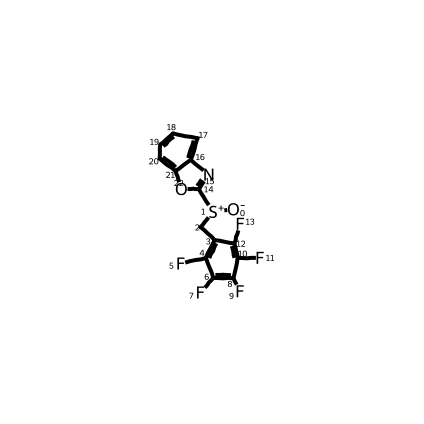 [O-][S+](Cc1c(F)c(F)c(F)c(F)c1F)c1nc2ccccc2o1